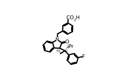 CC(C)[C@]1(c2cccc(F)c2)C[C@]12C(=O)N(Cc1cccc(C(=O)O)c1)c1ccccc12